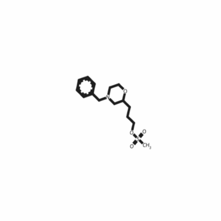 CS(=O)(=O)OCCCC1CN(Cc2ccccc2)CCO1